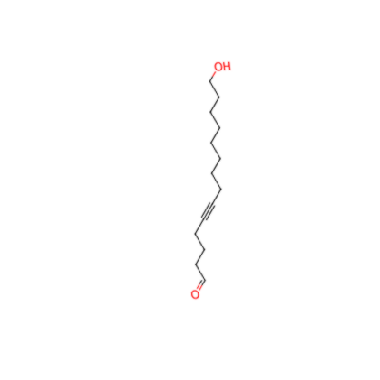 O=CCCCC#CCCCCCCCCO